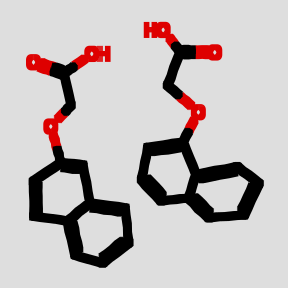 O=C(O)COc1ccc2ccccc2c1.O=C(O)COc1cccc2ccccc12